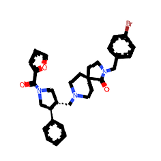 O=C(c1ccco1)N1C[C@H](CN2CCC3(CC2)CCN(Cc2ccc(Br)cc2)C3=O)[C@@H](c2ccccc2)C1